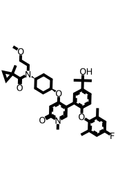 COCCN(C(=O)C1(C)CC1)[C@H]1CC[C@H](Oc2cc(=O)n(C)cc2-c2cc(C(C)(C)O)ccc2Oc2c(C)cc(F)cc2C)CC1